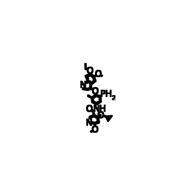 CCOc1cc2nccc(Oc3c(C)cc(NC(=O)c4cnc(OC)cc4OC4CC4)cc3P)c2cc1OC